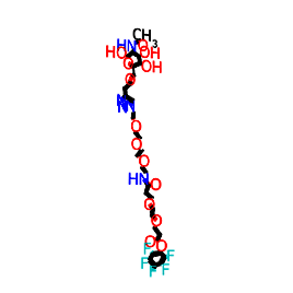 CC(=O)N[C@@H]1[C@@H](O)[C@@H](O)[C@@H](COCCc2cn(CCOCCOCCOCCNC(=O)CCOCCOCCC(=O)Oc3c(F)c(F)c(F)c(F)c3F)nn2)O[C@H]1O